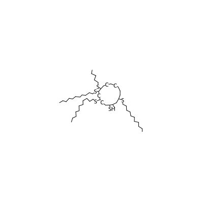 CCCCCCCCCCCSC1CCCCCCCC(SCCCCC)C(SCCCCCCCCCCC)CC(SCCCCCCCCCCC)CCC(S)C(C)C1